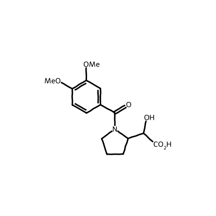 COc1ccc(C(=O)N2CCCC2C(O)C(=O)O)cc1OC